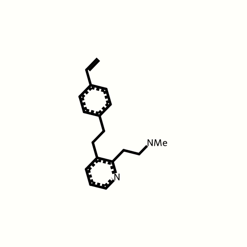 C=Cc1ccc(CCc2cccnc2CCNC)cc1